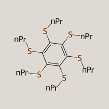 CCCSc1c(SCCC)c(SCCC)c(SCCC)c(SCCC)c1SCCC